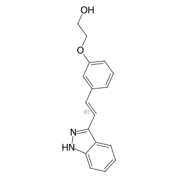 OCCOc1cccc(/C=C/c2n[nH]c3ccccc23)c1